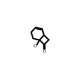 O=C1CC2C=CCCC12Cl